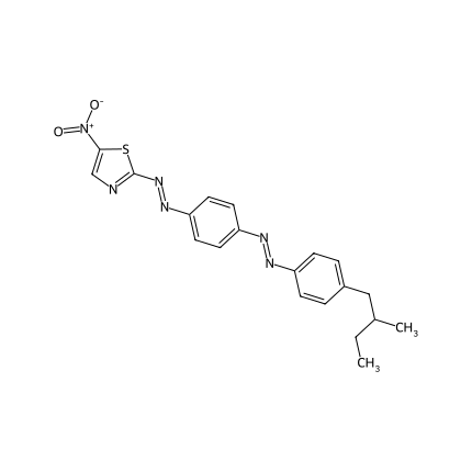 CCC(C)Cc1ccc(N=Nc2ccc(N=Nc3ncc([N+](=O)[O-])s3)cc2)cc1